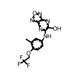 Cc1cc(Nc2nc3nonc3nc2O)ccc1OCC(F)(F)F